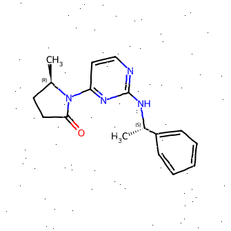 C[C@H](Nc1nccc(N2C(=O)CC[C@H]2C)n1)c1ccccc1